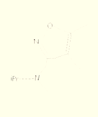 Cc1onc(N(C)C(C)C)c1C